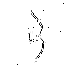 O=C=COC=C=O.O=S(=O)(O)O